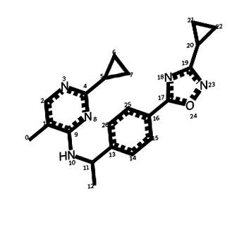 Cc1cnc(C2CC2)nc1NC(C)c1ccc(-c2nc(C3CC3)no2)cc1